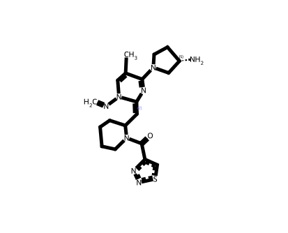 C=NN1C=C(C)C(N2CC[C@H](N)C2)=N/C1=C/C1CCCCN1C(=O)c1csnn1